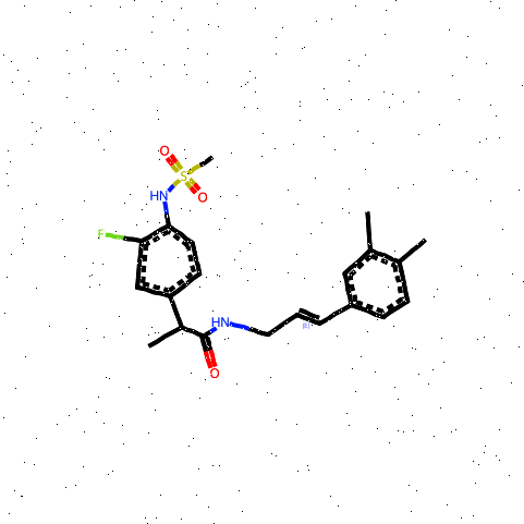 Cc1ccc(/C=C/CNC(=O)C(C)c2ccc(NS(C)(=O)=O)c(F)c2)cc1C